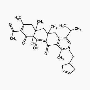 CC(=O)C1=C(C)CC2(C)CC3(C)Cc4c(C(C)C)cc(CC5CC=CC5)c(C)c4C(=O)C3=C(O)C2(C)C1=O